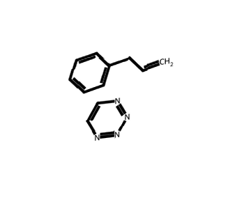 C=CCc1ccccc1.c1cnnnn1